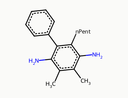 CCCCCc1c(N)c(C)c(C)c(N)c1-c1ccccc1